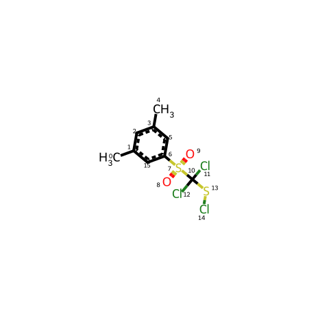 Cc1cc(C)cc(S(=O)(=O)C(Cl)(Cl)SCl)c1